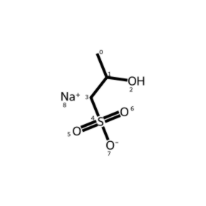 CC(O)CS(=O)(=O)[O-].[Na+]